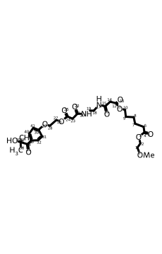 COCCOC(=O)CCCCCOC(=O)CC(=O)NCCNC(=O)CC(=O)OCCOc1ccc(C(=O)C(C)(C)O)cc1